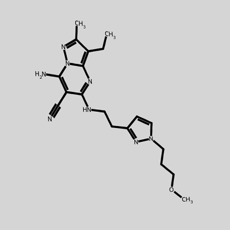 CCc1c(C)nn2c(N)c(C#N)c(NCCc3ccn(CCCOC)n3)nc12